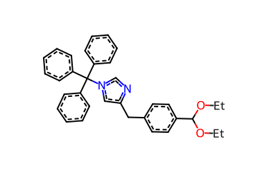 CCOC(OCC)c1ccc(Cc2cn(C(c3ccccc3)(c3ccccc3)c3ccccc3)cn2)cc1